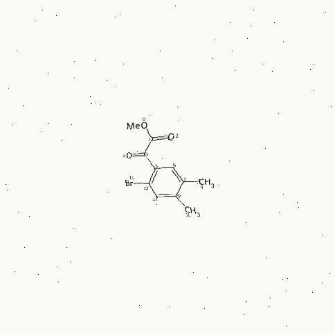 COC(=O)C(=O)c1cc(C)c(C)cc1Br